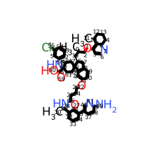 C[C@@H](COc1ccnc2c1[C@H](C)CCC2)C[C@H]1Cc2ccc(OCCCC(=O)N[C@@H](C)c3cccc(-c4ccc(N)nc4)c3)cc2C12CCC(Nc1cccc(Cl)c1)(C(=O)O)CC2